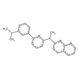 CC(C)c1cccc(-c2cccc(C(C)c3ccc4cccnc4n3)n2)c1